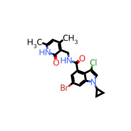 Cc1cc(C)c(CNC(=O)c2cc(Br)cc3c2c(Cl)cn3C2CC2)c(=O)[nH]1